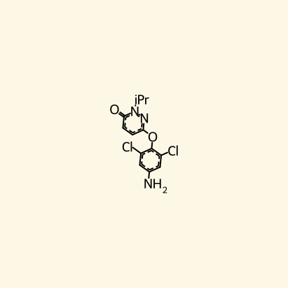 CC(C)n1nc(Oc2c(Cl)cc(N)cc2Cl)ccc1=O